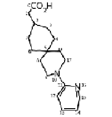 O=C(O)CC1CCC2(CC1)CCN(c1ccccn1)CC2